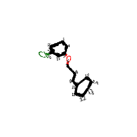 Clc1cccc(OCCCC2CCCCC2)c1